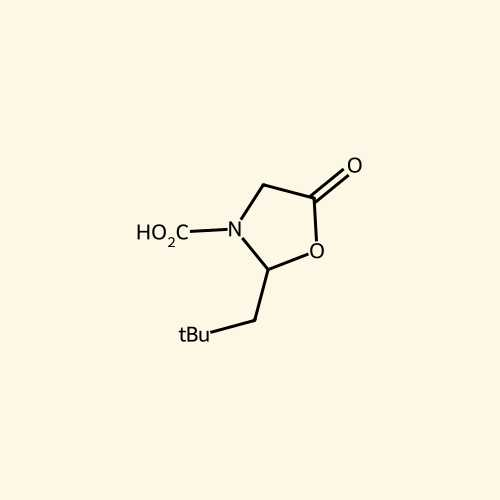 CC(C)(C)CC1OC(=O)CN1C(=O)O